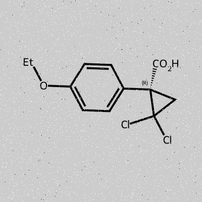 CCOc1ccc([C@@]2(C(=O)O)CC2(Cl)Cl)cc1